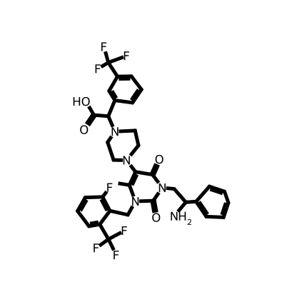 Cc1c(N2CCN(C(C(=O)O)c3cccc(C(F)(F)F)c3)CC2)c(=O)n(CC(N)c2ccccc2)c(=O)n1Cc1c(F)cccc1C(F)(F)F